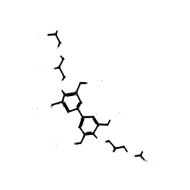 CCCCC(CC)COCC(O)COc1c(COC)cc(-c2cc(COC)c(OCC(O)COC(CC)CCCC)c(COC)c2)cc1COC